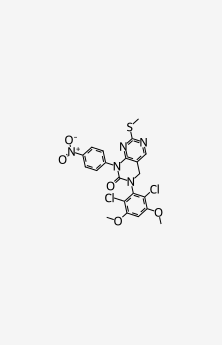 COc1cc(OC)c(Cl)c(N2Cc3cnc(SC)nc3N(c3ccc([N+](=O)[O-])cc3)C2=O)c1Cl